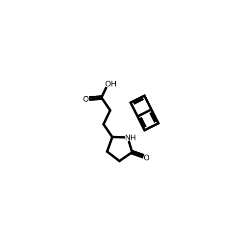 O=C(O)CCC1CCC(=O)N1.c1cc2ccc1-2